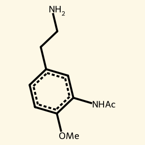 COc1ccc(CCN)cc1NC(C)=O